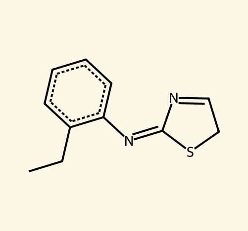 CCc1ccccc1N=C1N=CCS1